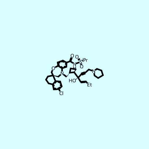 CC/C=C/[C@](O)(C#CCN1CCCCC1)[C@@H]1CC[C@H]1CN1C[C@@]2(CCCc3cc(Cl)ccc32)COc2ccc(C(=O)NS(=O)(=O)C(C)C)cc21